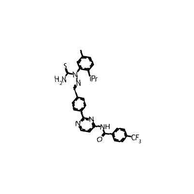 Cc1ccc(C(C)C)c(N(/N=C/c2ccc(-c3nccc(NC(=O)c4ccc(C(F)(F)F)cc4)n3)cc2)C(N)=S)c1